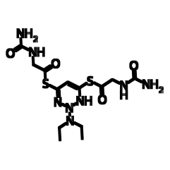 CCN(CC)N1N=C(SC(=O)CNC(N)=O)C=C(SC(=O)CNC(N)=O)N1